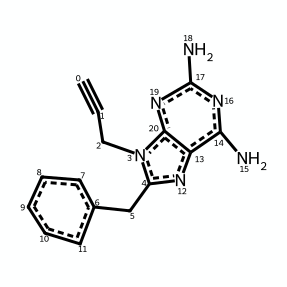 C#CCn1c(Cc2ccccc2)nc2c(N)nc(N)nc21